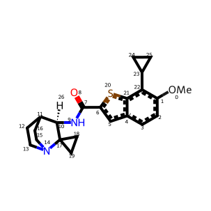 COc1ccc2cc(C(=O)N[C@@H]3C4CCN(CC4)C34CC4)sc2c1C1CC1